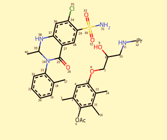 CC(=O)Oc1c(C)cc(OCC(O)CNC(C)C)c(C)c1C.Cc1ccccc1N1C(=O)c2cc(S(N)(=O)=O)c(Cl)cc2NC1C